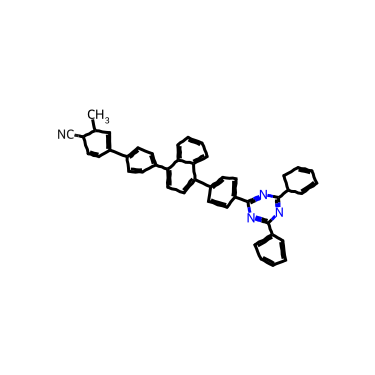 CC1C=C(c2ccc(-c3ccc(-c4ccc(-c5nc(-c6ccccc6)nc(C6C=CC=CC6)n5)cc4)c4ccccc34)cc2)C=CC1C#N